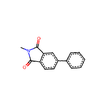 CN1C(=O)c2ccc(-c3ccccc3)cc2C1=O